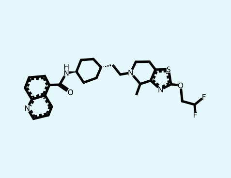 CC1c2nc(OCC(F)F)sc2CCN1CC[C@H]1CC[C@H](NC(=O)c2cccc3ncccc23)CC1